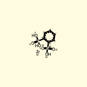 O=P(O)(O)c1ccccc1S(=O)(=O)O.[Zr]